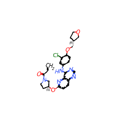 C=CC(=O)N1CC[C@H](Oc2ccc3ncnc(Nc4ccc(OC[C@@H]5CCOC5)c(Cl)c4)c3n2)C1